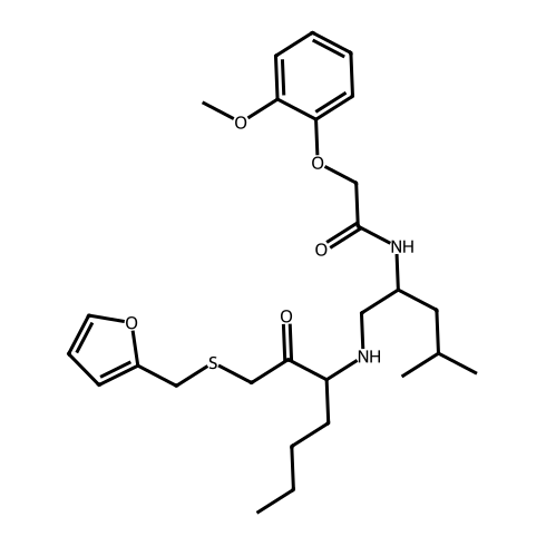 CCCCC(NCC(CC(C)C)NC(=O)COc1ccccc1OC)C(=O)CSCc1ccco1